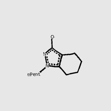 CCCCCn1nc([O])c2c1CCCC2